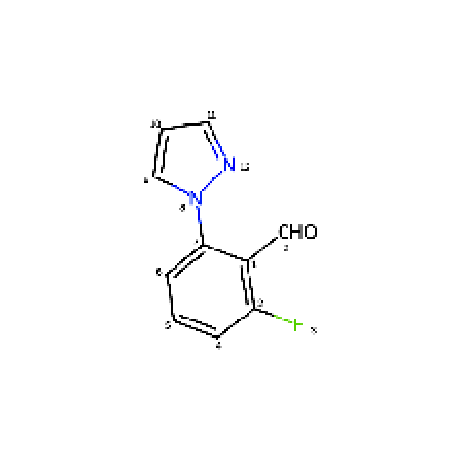 O=Cc1c(F)cccc1-n1cccn1